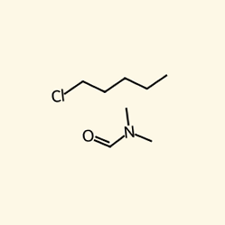 CCCCCCl.CN(C)C=O